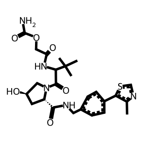 Cc1ncsc1-c1ccc(CNC(=O)[C@@H]2C[C@@H](O)CN2C(=O)C(NC(=O)COC(N)=O)C(C)(C)C)cc1